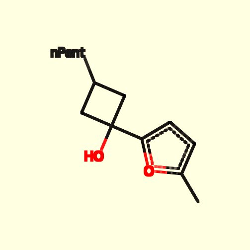 CCCCCC1CC(O)(c2ccc(C)o2)C1